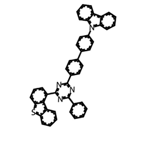 c1ccc(-c2nc(-c3ccc(-c4ccc(-n5c6ccccc6c6ccccc65)cc4)cc3)nc(-c3cccc4sc5ccccc5c34)n2)cc1